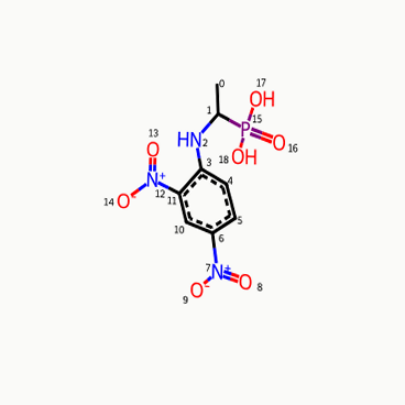 CC(Nc1ccc([N+](=O)[O-])cc1[N+](=O)[O-])P(=O)(O)O